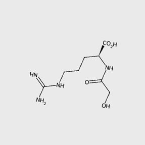 N=C(N)NCCC[C@H](NC(=O)CO)C(=O)O